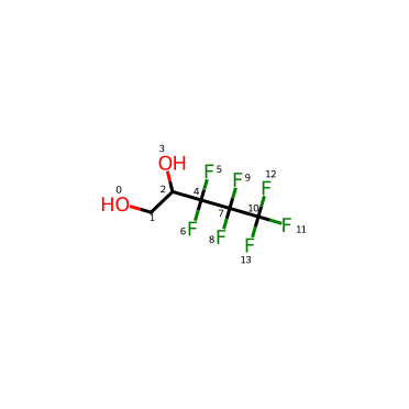 OCC(O)C(F)(F)C(F)(F)C(F)(F)F